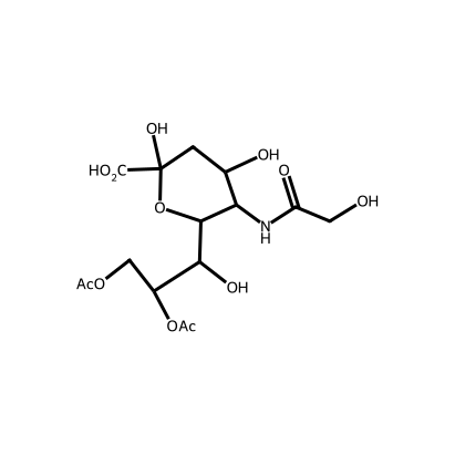 CC(=O)OCC(OC(C)=O)C(O)C1OC(O)(C(=O)O)CC(O)C1NC(=O)CO